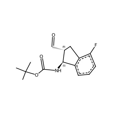 CC(C)(C)OC(=O)N[C@@H]1c2cccc(F)c2C[C@H]1C=O